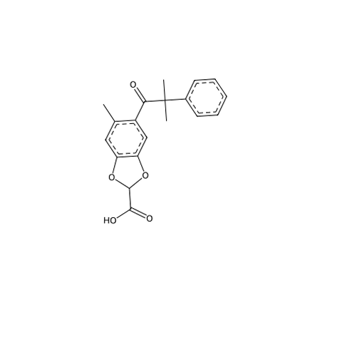 Cc1cc2c(cc1C(=O)C(C)(C)c1ccccc1)OC(C(=O)O)O2